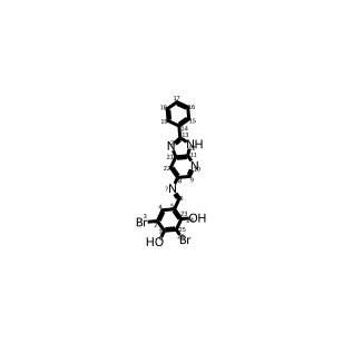 Oc1c(Br)cc(/C=N/c2cnc3[nH]c(-c4ccccc4)nc3c2)c(O)c1Br